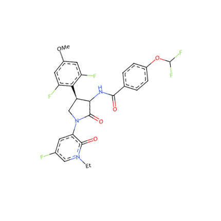 CCn1cc(F)cc(N2C[C@@H](c3c(F)cc(OC)cc3F)C(NC(=O)c3ccc(OC(F)F)cc3)C2=O)c1=O